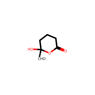 O=CC1(O)CCCC(=O)O1